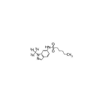 [2H]C([2H])([2H])n1ncc2ccc(NS(=O)(=O)CCCCC)cc21